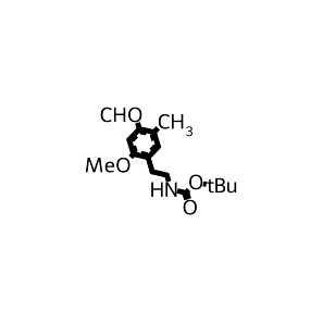 COc1cc(C=O)c(C)cc1CCNC(=O)OC(C)(C)C